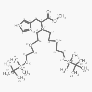 COC(=O)C(Cc1c[nH]cn1)N(CCOCCO[Si](C)(C)C(C)(C)C)CCOCCO[Si](C)(C)C(C)(C)C